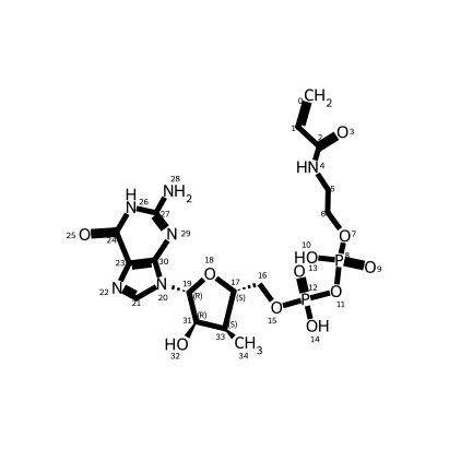 C=CC(=O)NCCOP(=O)(O)OP(=O)(O)OC[C@H]1O[C@@H](n2cnc3c(=O)[nH]c(N)nc32)[C@H](O)[C@@H]1C